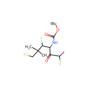 CC(C)(C)OC(=O)NC(C(=O)C(F)I)C(F)C(C)(C)CF